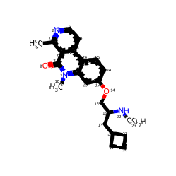 Cc1nccc2c1c(=O)n(C)c1cc(OCC(CC3CCC3)NC(=O)O)ccc21